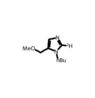 [2H]c1ncc(COC)n1CCCC